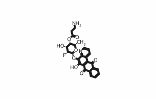 C[C@@H]1O[C@@H](Oc2c(O)c3c(c4cccnc24)C(=O)c2ccccc2C3=O)[C@H](F)[C@H](O)[C@@H]1OC(=O)CCN